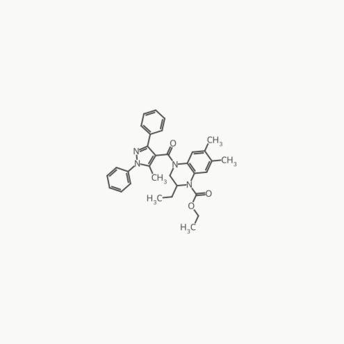 CCOC(=O)N1c2cc(C)c(C)cc2N(C(=O)c2c(-c3ccccc3)nn(-c3ccccc3)c2C)CC1CC